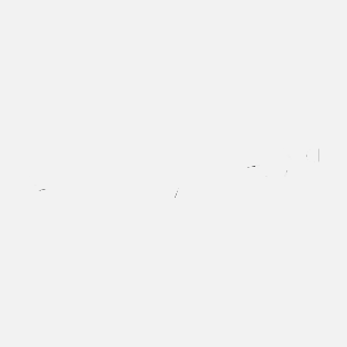 C=C[C@H]1CC[C@H](CC[C@H]2CC[C@H]([C@H]3CC[C@H](c4ccc(Cl)cc4)CC3)CC2)CC1